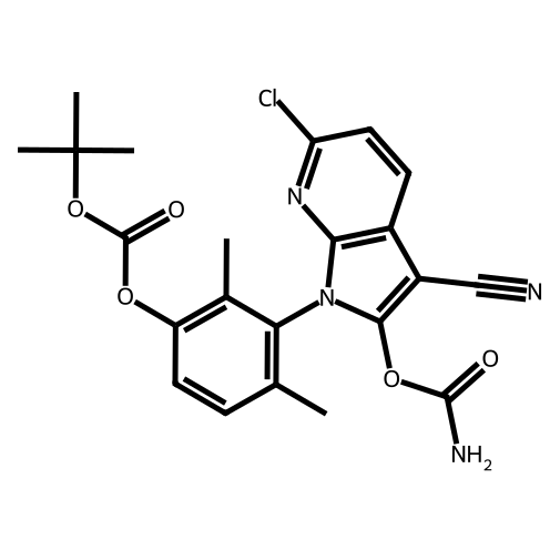 Cc1ccc(OC(=O)OC(C)(C)C)c(C)c1-n1c(OC(N)=O)c(C#N)c2ccc(Cl)nc21